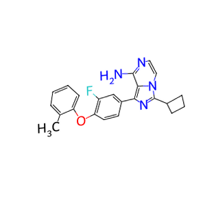 Cc1ccccc1Oc1ccc(-c2nc(C3CCC3)n3ccnc(N)c23)cc1F